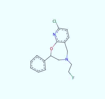 FCCN1Cc2ccc(Cl)nc2OC(c2ccccc2)C1